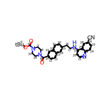 CC(C)(C)OC(=O)N1CCN(C(=O)c2ccc3cc(CCNc4ccnc5ccc(C#N)cc45)ccc3c2)CC1